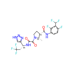 C[C@H]1[C@@H](C(=O)Nc2ccc(F)c(C(F)F)c2F)CCN1C(=O)C(=O)N[C@H](CC(F)(F)F)c1c[nH]nn1